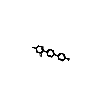 CC1CN=C(c2ccc(-c3ccc(F)cc3)cc2)NC1